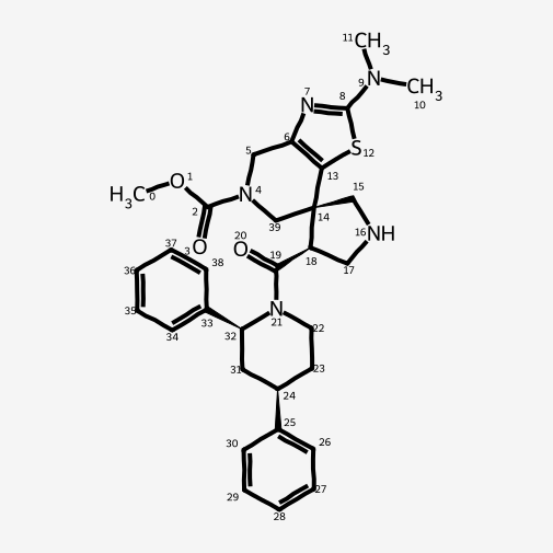 COC(=O)N1Cc2nc(N(C)C)sc2[C@@]2(CNC[C@H]2C(=O)N2CC[C@@H](c3ccccc3)C[C@H]2c2ccccc2)C1